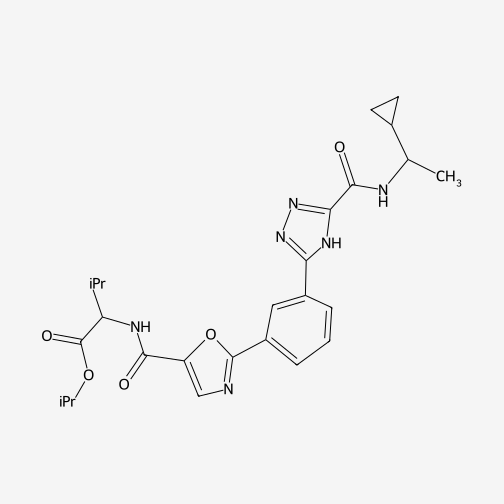 CC(C)OC(=O)C(NC(=O)c1cnc(-c2cccc(-c3nnc(C(=O)NC(C)C4CC4)[nH]3)c2)o1)C(C)C